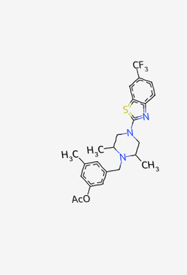 CC(=O)Oc1cc(C)cc(CN2C(C)CN(c3nc4ccc(C(F)(F)F)cc4s3)CC2C)c1